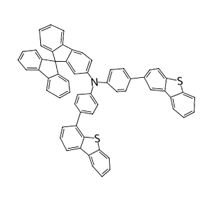 c1ccc2c(c1)-c1ccccc1C21c2ccccc2-c2ccc(N(c3ccc(-c4ccc5sc6ccccc6c5c4)cc3)c3ccc(-c4cccc5c4sc4ccccc45)cc3)cc21